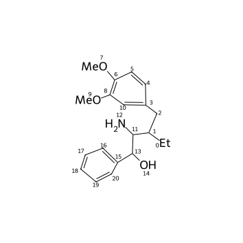 CCC(Cc1ccc(OC)c(OC)c1)C(N)C(O)c1ccccc1